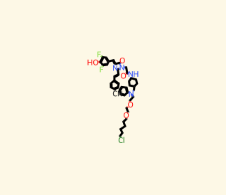 N#Cc1ccc(/C=C/C2=NC(=C\c3cc(F)c(O)c(F)c3)/C(=O)N2CC(=O)NC2CCC(CN(CCOCCOCCCCCCCl)c3ccccc3)CC2)cc1